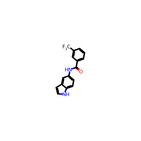 O=C(Nc1ccc2[nH]ccc2c1)c1cccc(C(F)(F)F)c1